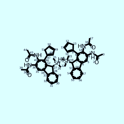 CC(=O)Nc1cc2c(c(C3=CC=CC3)c1NC(C)=O)[CH]([Sn]([CH3])([CH3])[Hf][Sn]([CH3])([CH3])[CH]1c3ccccc3-c3cc(NC(C)=O)c(NC(C)=O)c(C4=CC=CC4)c31)c1ccccc1-2